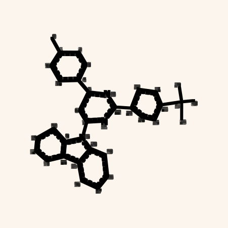 Cc1ccc(-c2cc(-n3c4ccccc4c4ccccc43)nc(-c3ccc(C(C)(C)C)cc3)n2)cc1